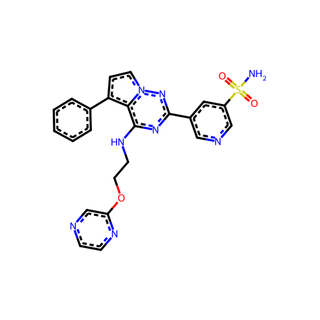 NS(=O)(=O)c1cncc(-c2nc(NCCOc3cnccn3)c3c(-c4ccccc4)ccn3n2)c1